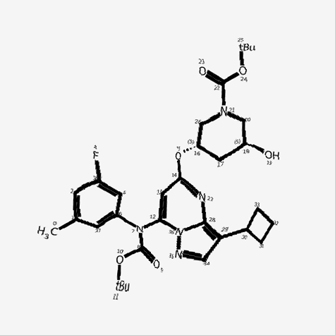 Cc1cc(F)cc(N(C(=O)OC(C)(C)C)c2cc(O[C@H]3C[C@H](O)CN(C(=O)OC(C)(C)C)C3)nc3c(C4CCC4)cnn23)c1